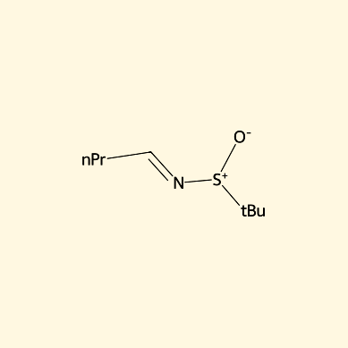 CCCC=N[S+]([O-])C(C)(C)C